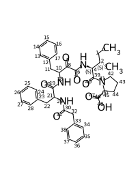 CC[C@H](C)[C@H](NC(=O)C(=O)C(Cc1ccccc1)NC(=O)C(Cc1ccccc1)NC(=O)Cc1ccccc1)C(=O)N1CCC[C@H]1C(=O)O